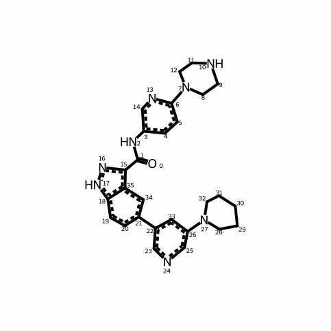 O=C(Nc1ccc(N2CCNCC2)nc1)c1n[nH]c2ccc(-c3cncc(N4CCCCC4)c3)cc12